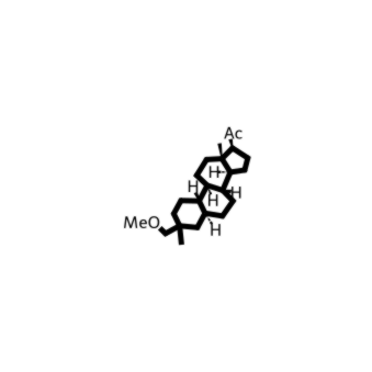 COCC1(C)CC[C@H]2[C@@H](CC[C@@H]3[C@@H]2CC[C@]2(C)[C@@H](C(C)=O)CC[C@@H]32)C1